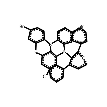 Clc1cc2c3c(c1)N(c1c(-c4ccccc4)cccc1-c1ccccc1)c1cc(Br)ccc1B3c1ccc(Br)cc1S2